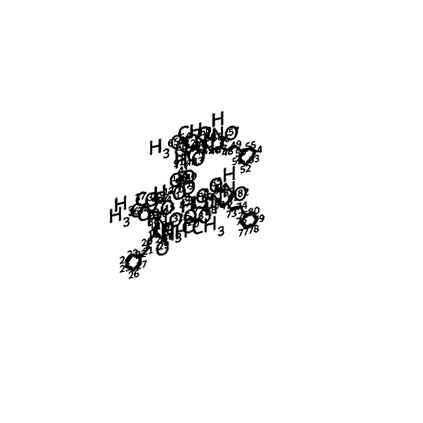 CC1(C)O[C@@H]2[C@H](O1)[C@@H](COP(=O)(OC[C@H]1O[C@@H](n3cc(/C=C/c4ccccc4)c(=O)[nH]c3=O)[C@@H]3OC(C)(C)O[C@@H]31)OC[C@H]1O[C@@H](n3cc(/C=C/c4ccccc4)c(=O)[nH]c3=O)[C@@H]3OC(C)(C)O[C@@H]31)O[C@H]2n1cc(/C=C/c2ccccc2)c(=O)[nH]c1=O